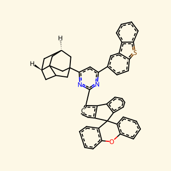 c1ccc2c(c1)Oc1ccccc1C21c2ccccc2-c2c(-c3nc(-c4ccc5sc6ccccc6c5c4)cc(C45CC6C[C@@H]7C[C@@H](C4)CC67C5)n3)cccc21